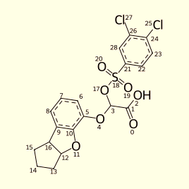 O=C(O)C(Oc1cccc2c1OC1CCCC21)OS(=O)(=O)c1ccc(Cl)c(Cl)c1